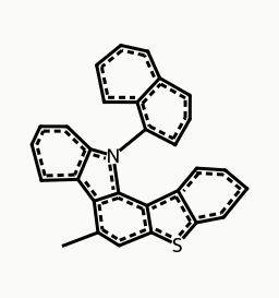 Cc1cc2sc3ccccc3c2c2c1c1ccccc1n2-c1cccc2ccccc12